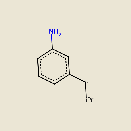 CC(C)[CH]c1cccc(N)c1